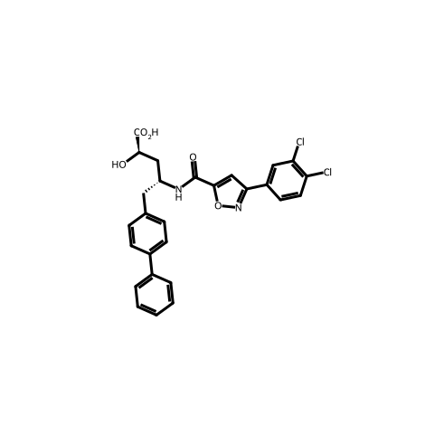 O=C(N[C@H](Cc1ccc(-c2ccccc2)cc1)C[C@@H](O)C(=O)O)c1cc(-c2ccc(Cl)c(Cl)c2)no1